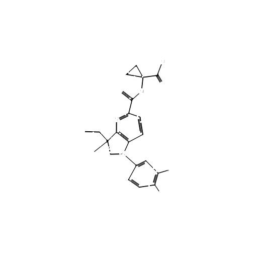 CCC1(C)CN(c2ccc(Cl)c(F)c2)c2ccc(C(=O)NC3(C(N)=O)CC3)nc21